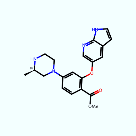 COC(=O)c1ccc(N2CCN[C@H](C)C2)cc1Oc1cnc2[nH]ccc2c1